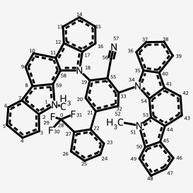 Cn1c2ccccc2c2ccc3c4ccccc4n(-c4cc(-c5ccccc5C(F)(F)F)cc(-n5c6ccccc6c6ccc7c8ccccc8n(C)c7c65)c4C#N)c3c21